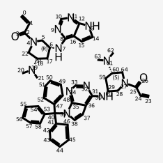 C=CC(=O)N1C[C@H](Nc2ncnc3[nH]ccc23)C[C@H](N(C)C)C1.C=CC(=O)N1C[C@H](Nc2ncnc3c2ccn3C(c2ccccc2)(c2ccccc2)c2ccccc2)C[C@H](N(C)C)C1